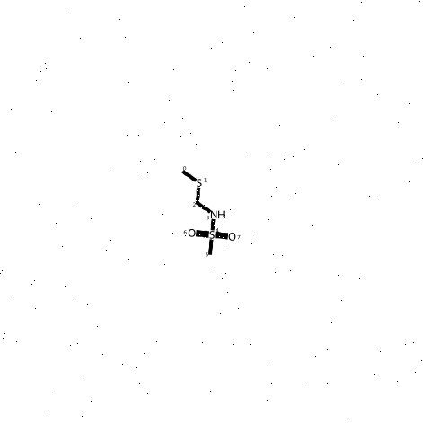 CSCNS(C)(=O)=O